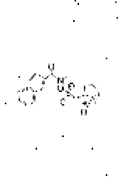 CN(OS(=O)(=O)CC12CCC(CC1=O)C2(C)C)C(=O)c1ccc2ccccc2c1